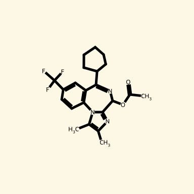 CC(=O)OC1N=C(C2CCCCC2)c2cc(C(F)(F)F)ccc2-n2c1nc(C)c2C